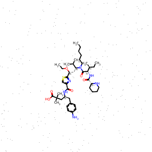 CCCCCCN(C(=O)[C@@H](NC(=O)[C@H]1CCCCN1)[C@@H](C)CC)[C@H](C[C@@H](OCC)c1nc(C(=O)N[C@@H](Cc2ccc(N)cc2)CC(C)(C)C(=O)O)cs1)C(C)C